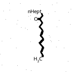 C=CC=CC=CC=CCCC(=O)CCCCCCCC